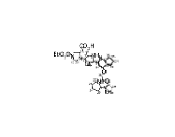 CCOC(=O)N1CCN(C(=O)C(CCC(=O)O)NC(=O)c2cc(OCC(=O)N3CCCCC3C3CCCO3)c3ccccc3n2)CC1